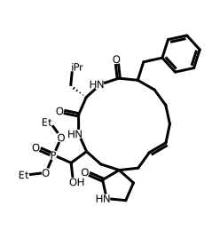 CCOP(=O)(OCC)C(O)C1CC2(C/C=C/CCCC(Cc3ccccc3)C(=O)N[C@@H](CC(C)C)C(=O)N1)CCNC2=O